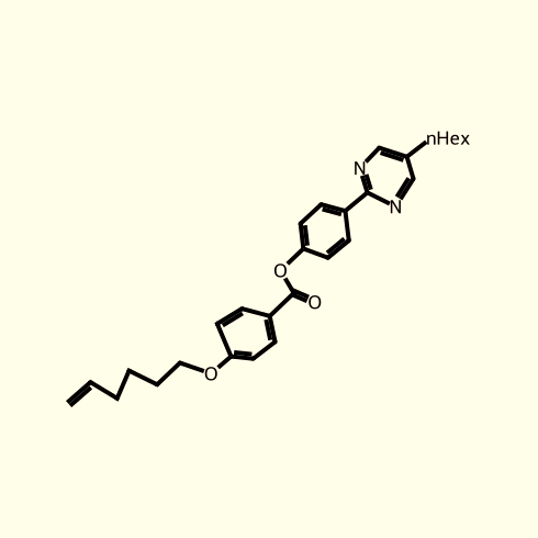 C=CCCCCOc1ccc(C(=O)Oc2ccc(-c3ncc(CCCCCC)cn3)cc2)cc1